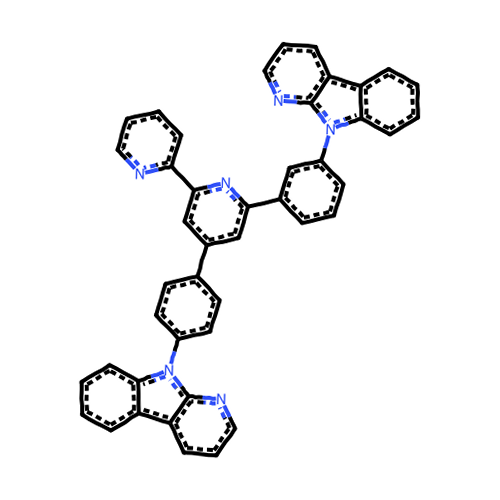 c1ccc(-c2cc(-c3ccc(-n4c5ccccc5c5cccnc54)cc3)cc(-c3cccc(-n4c5ccccc5c5cccnc54)c3)n2)nc1